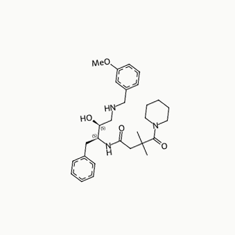 COc1cccc(CNC[C@H](O)[C@H](Cc2ccccc2)NC(=O)CC(C)(C)C(=O)N2CCCCC2)c1